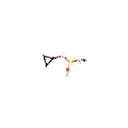 CO[PH](=O)OC1CC1